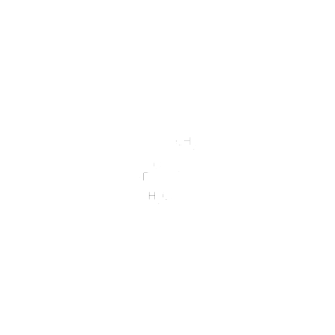 C=CC(C=C)OF